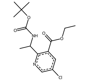 CCOC(=O)c1cc(Cl)cnc1C(C)NC(=O)OC(C)(C)C